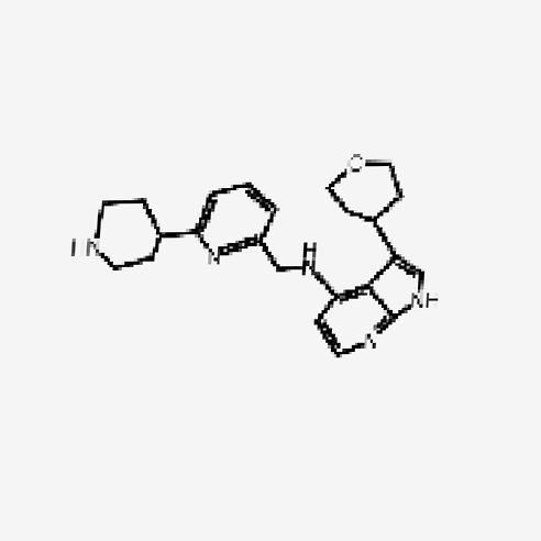 c1cc(CNc2ccnc3[nH]cc(C4CCOCC4)c23)nc(C2CCNCC2)c1